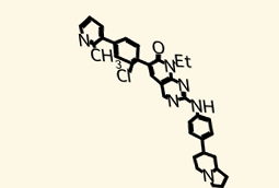 CCn1c(=O)c(-c2ccc(-c3cccnc3C)cc2Cl)cc2cnc(Nc3ccc(C4CCN5CCCC5C4)cc3)nc21